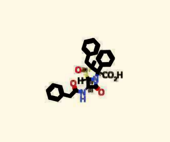 CC1(Cc2ccccc2)[S@+]([O-])[C@@H]2[C@@H](NC(=O)Cc3ccccc3)C(=O)N2[C@]1(C(=O)O)c1ccccc1